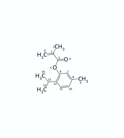 C=C(C)C(=O)Oc1cc(C)ccc1C(C)C